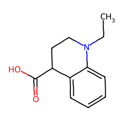 CCN1CCC(C(=O)O)c2ccccc21